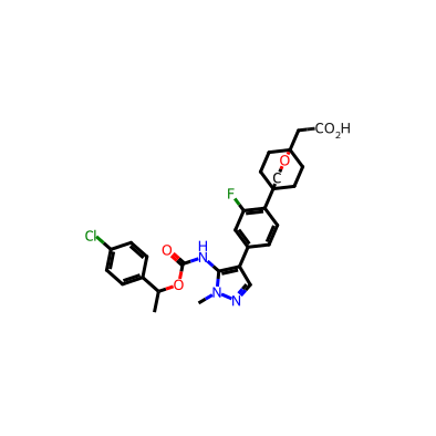 CC(OC(=O)Nc1c(-c2ccc(C34CCC(CC(=O)O)(CC3)OC4)c(F)c2)cnn1C)c1ccc(Cl)cc1